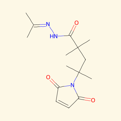 CC(C)=NNC(=O)C(C)(C)CC(C)(C)N1C(=O)C=CC1=O